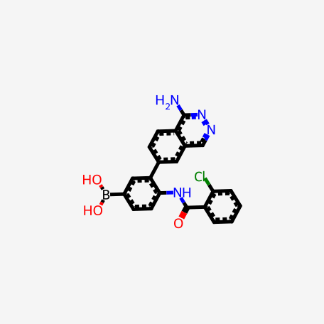 Nc1nncc2cc(-c3cc(B(O)O)ccc3NC(=O)c3ccccc3Cl)ccc12